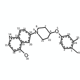 Cc1ccc(OC2CCN(c3ccc4nccc([O])c4c3)CC2)cc1C